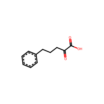 O=C(O)C(=O)CCCc1ccccc1